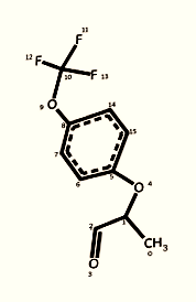 CC([C]=O)Oc1ccc(OC(F)(F)F)cc1